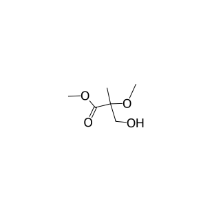 COC(=O)C(C)(CO)OC